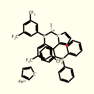 C[C@H]([c-]1cccc1-c1ccccc1P(c1ccccc1)c1ccccc1)P(c1cc(C(F)(F)F)cc(C(F)(F)F)c1)c1cc(C(F)(F)F)cc(C(F)(F)F)c1.[Fe+2].c1cc[cH-]c1